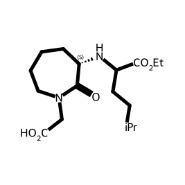 CCOC(=O)C(CCC(C)C)N[C@H]1CCCCN(CC(=O)O)C1=O